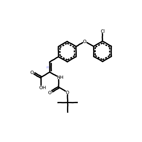 CC(C)(C)OC(=O)N/C(=C\c1ccc(Oc2ccccc2Cl)cc1)C(=O)O